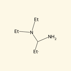 C[CH]C(N)N(CC)CC